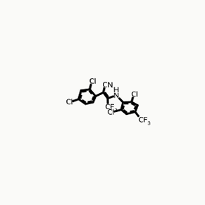 N#CC(=C(Nc1c(Cl)cc(C(F)(F)F)cc1Cl)C(F)(F)F)c1ccc(Cl)cc1Cl